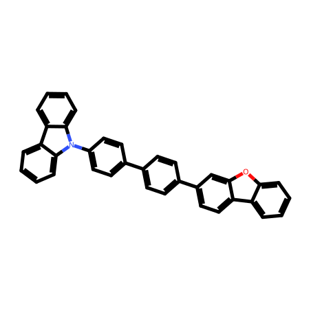 c1ccc2c(c1)oc1cc(-c3ccc(-c4ccc(-n5c6ccccc6c6ccccc65)cc4)cc3)ccc12